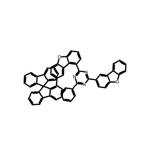 c1ccc(-c2nc(-c3ccc4oc5ccccc5c4c3)nc(-c3cccc4oc5ccc(-c6cccc7c6C6(c8ccccc8-c8ccccc86)c6ccccc6-7)cc5c34)n2)cc1